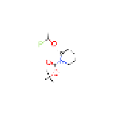 CC(F)OC[C@@H]1CCCCN1C(=O)OC(C)(C)C